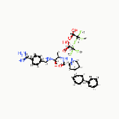 CC(NC(=O)[C@H]1C[C@@H](c2cccc(-c3ccccc3)c2)CCN1)C(=O)NCc1ccc(C(=N)N)cc1.O=C(O)C(F)(F)F.O=C(O)C(F)(F)F